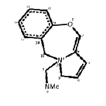 CNC[N+]12CC=CC1=COc1ccccc1C2